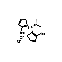 C[C](C)=[Hf+2]([C]1=C(C(C)(C)C)C=CC1)[C]1=C(C(C)(C)C)C=CC1.[Cl-].[Cl-]